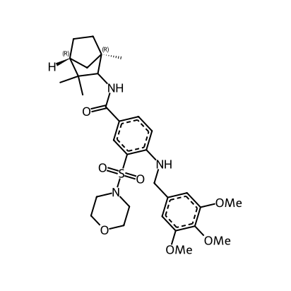 COc1cc(CNc2ccc(C(=O)NC3C(C)(C)[C@@H]4CC[C@]3(C)C4)cc2S(=O)(=O)N2CCOCC2)cc(OC)c1OC